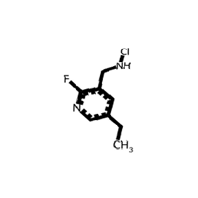 CCc1cnc(F)c(CNCl)c1